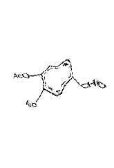 CC(=O)Oc1ccc(C=O)cc1OC(C)=O